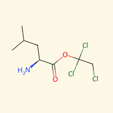 CC(C)C[C@H](N)C(=O)OC(Cl)(Cl)CCl